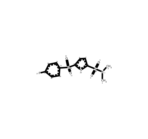 CN(C)S(=O)(=O)c1ccc(S(=O)(=O)c2ccc(F)cc2)s1